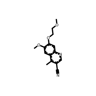 COCCOc1cc2ncc(C#N)c(C)c2cc1OC